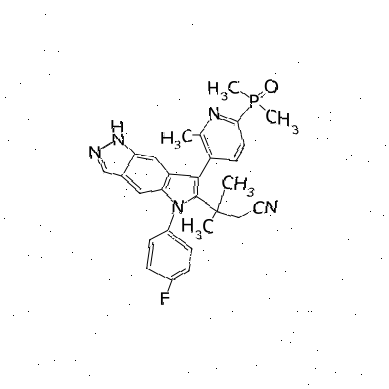 Cc1nc(P(C)(C)=O)ccc1-c1c(C(C)(C)CC#N)n(-c2ccc(F)cc2)c2cc3cn[nH]c3cc12